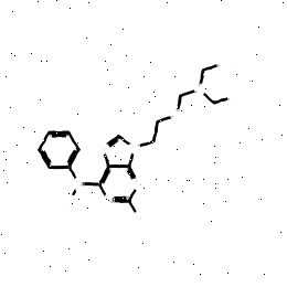 CN(c1ccccc1)c1nc(N)nc2c1ncn2CCOCP(CC(F)(F)F)CC(F)(F)F